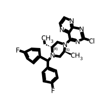 CC[C@@H]1CN(c2nc(Cl)nc3nccnc23)[C@@H](C)CN1C(c1ccc(F)cc1)c1ccc(F)cc1